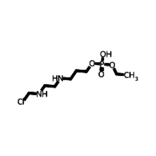 CCOP(=O)(O)OCCCNCCNCCl